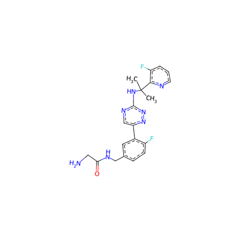 CC(C)(Nc1ncc(-c2cc(CNC(=O)CN)ccc2F)nn1)c1ncccc1F